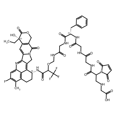 CC[C@@]1(O)C(=O)OCc2c1cc1n(c2=O)Cc2c-1nc1cc(F)c(C)c3c1c2[C@H](NC(=O)C(OCNC(=O)CNC(=O)[C@H](Cc1ccccc1)NC(=O)CNC(=O)CNC(=O)C(CNCC(=O)O)N1C(=O)C=CC1=O)C(F)(F)F)CC3